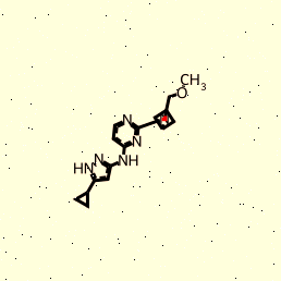 COCC12CC(C1)N(c1nccc(Nc3cc(C4CC4)[nH]n3)n1)C2